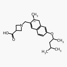 CC(C)CC(C)Oc1ccc2c(c1)C[C@H](C)C(CN1CC(C(=O)O)C1)=C2